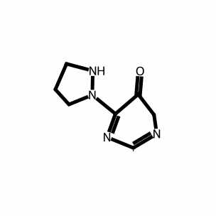 O=C1CN=[C]N=C1N1CCCN1